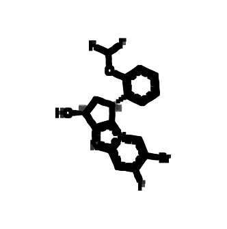 O[C@H]1C[C@H](c2ccccc2OC(F)F)c2c1nc1cc(F)c(Br)cn21